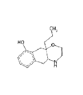 CCCC12Cc3c(O)cccc3CC1NCCO2